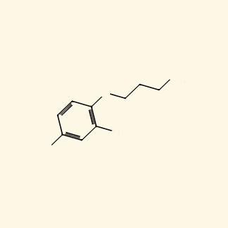 Cc1ccc(OCCCC(=O)O)c(Cl)c1